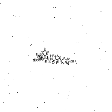 Cc1ccc(-c2ccn3nc(N)nc3c2)c(F)c1C(=O)NCC(F)(F)C(OP(=O)(OC(C)(C)C)OC(C)(C)C)c1ccc(F)cc1